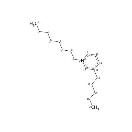 CCCCCCCC[n+]1cccc(CCCCC)c1